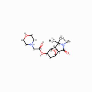 CC(C)N1C(=O)C2C3CC(OC(=O)CN4CCOCC4)C(O3)C2C1(C)C